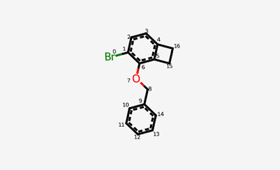 Brc1ccc2c(c1OCc1ccccc1)CC2